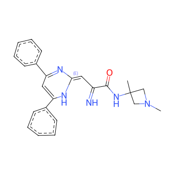 CN1CC(C)(NC(=O)C(=N)/C=C2/N=C(c3ccccc3)C=C(c3ccccc3)N2)C1